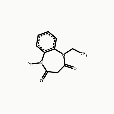 CC(C)N1C(=O)CC(=O)N(CC(F)(F)F)c2ccccc21